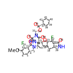 C=C(N1Cc2ccc(OC)c(F)c2C1=O)[C@@]1(c2cc3cc4c(c(F)c3o2)C(=O)NC4)NC(=O)N(COC(=O)c2ccccc2)C1=O